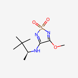 COC1=NS(=O)(=O)N=C1N[C@@H](C)C(C)(C)C